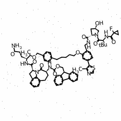 Cc1ncsc1-c1ccc(CNC(=O)[C@@H]2C[C@@H](O)CN2C(=O)[C@@H](NC(=O)C2(F)CC2)C(C)(C)C)c(OCCCCCc2ccc(CO[C@H](C)[C@H](CCC(N)=O)NC(=O)[C@@H]3Cc4cccc5c4N3C(=O)[C@@H](NC(=O)OCC3c4ccccc4-c4ccccc43)CC5)cc2)c1